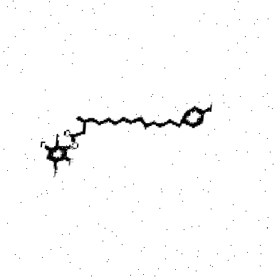 CC(CCCCCCCCCCCCc1ccc(I)cc1)CC(=O)Oc1c(F)c(F)cc(F)c1F